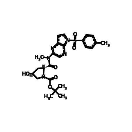 Cc1ccc(S(=O)(=O)n2ccc3nc(N(C)C(=O)[C@H]4C[C@@H](O)CN4C(=O)OC(C)(C)C)cnc32)cc1